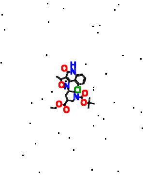 CCOC(=O)C1CC(N2OC(C)c3c2c2c(Cl)cccc2[nH]c3=O)CN(C(=O)OC(C)(C)C)C1